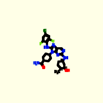 C[C@@H]1CC[C@@H](Nc2ncc3nc(Nc4c(F)cc(Cl)cc4F)n(C4CCC(C(N)=O)CC4)c3n2)C[C@H]1O